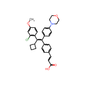 COc1ccc(C(=C(c2ccc(C=CC(=O)O)cc2)c2ccc(N3CCOCC3)cc2)C2CCC2)c(Cl)c1